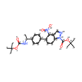 CC(NC(=O)OC(C)(C)C)c1ccc(-c2ccc3c(cnn3C(=O)OC(C)(C)C)c2[N+](=O)[O-])cc1